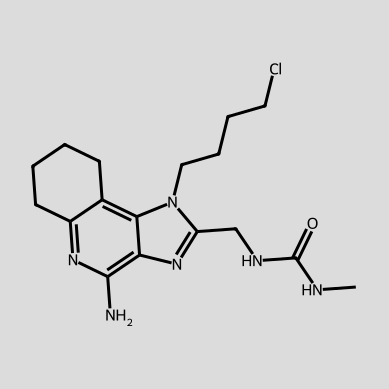 CNC(=O)NCc1nc2c(N)nc3c(c2n1CCCCCl)CCCC3